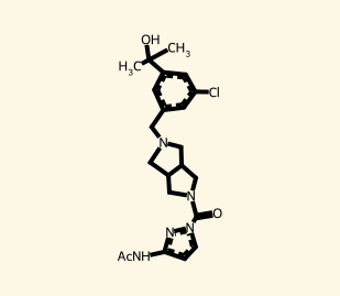 CC(=O)Nc1ccn(C(=O)N2CC3CN(Cc4cc(Cl)cc(C(C)(C)O)c4)CC3C2)n1